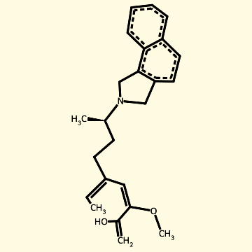 C=C(O)/C(=C\C(=C/C)CC[C@@H](C)N1Cc2ccc3ccccc3c2C1)OC